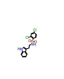 O=S(=O)(NCCc1c[nH]c2ccccc12)c1ccc(Cl)cc1Cl